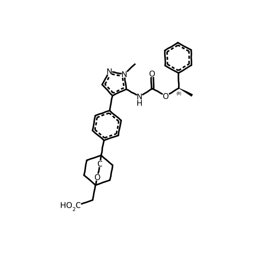 C[C@@H](OC(=O)Nc1c(-c2ccc(C34CCC(CC(=O)O)(CC3)OC4)cc2)cnn1C)c1ccccc1